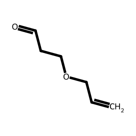 C=CCOCCC=O